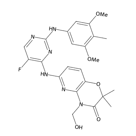 COc1cc(Nc2ncc(F)c(Nc3ccc4c(n3)N(CO)C(=O)C(C)(C)O4)n2)cc(OC)c1C